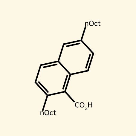 CCCCCCCCc1ccc2c(C(=O)O)c(CCCCCCCC)ccc2c1